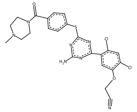 CN1CCN(C(=O)c2ccc(Sc3nc(N)nc(-c4cc(OCC#N)c(Cl)cc4Cl)n3)cc2)CC1